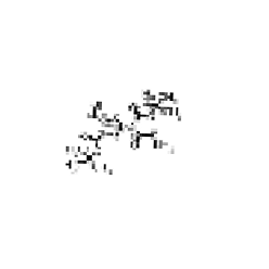 CC(C)(C)OC(=O)N1C[C@@H](N(C(=O)CN)C(=O)OC(C)(C)C)C[C@@H]1CO